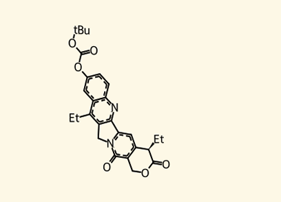 CCc1c2c(nc3ccc(OC(=O)OC(C)(C)C)cc13)-c1cc3c(c(=O)n1C2)COC(=O)[C@@H]3CC